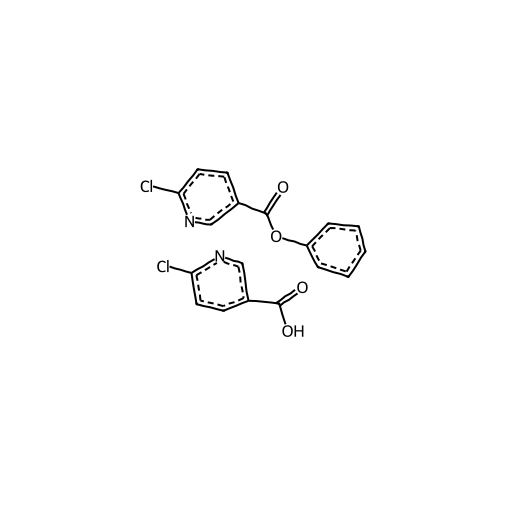 O=C(O)c1ccc(Cl)nc1.O=C(Oc1ccccc1)c1ccc(Cl)nc1